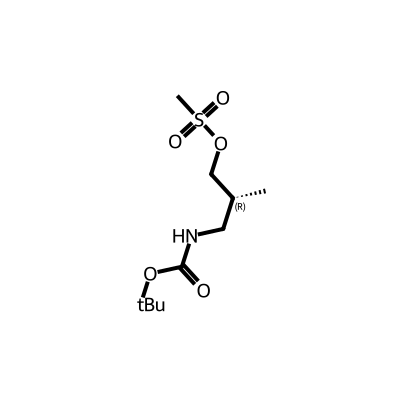 C[C@H](CNC(=O)OC(C)(C)C)COS(C)(=O)=O